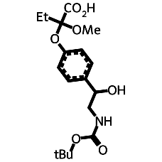 CCC(OC)(Oc1ccc(C(O)CNC(=O)OC(C)(C)C)cc1)C(=O)O